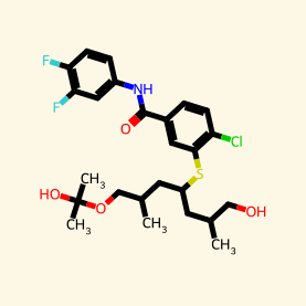 CC(CO)CC(CC(C)COC(C)(C)O)Sc1cc(C(=O)Nc2ccc(F)c(F)c2)ccc1Cl